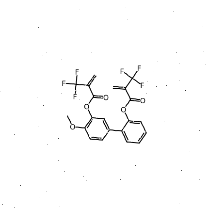 C=C(C(=O)Oc1cc(-c2ccccc2OC(=O)C(=C)C(F)(F)F)ccc1OC)C(F)(F)F